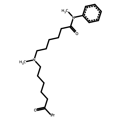 CC(C)C(=O)CCCCCN(C)CCCCCC(=O)N(C)c1ccccc1